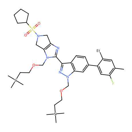 CCc1cc(C)c(F)cc1-c1ccc2c(-c3nc4c(n3COCC[Si](C)(C)C)CN(S(=O)(=O)C3CCCC3)C4)nn(COCC[Si](C)(C)C)c2c1